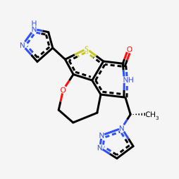 C[C@@H](c1[nH]c(=O)c2sc(-c3cn[nH]c3)c3c2c1CCCO3)n1ccnn1